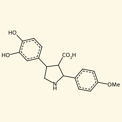 COc1ccc(C2NCC(c3ccc(O)c(O)c3)C2C(=O)O)cc1